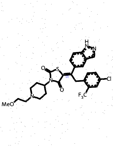 COCCN1CCC(N2C(=O)S/C(=C(/Cc3ccc(Cl)cc3C(F)(F)F)c3ccc4[nH]ncc4c3)C2=O)CC1